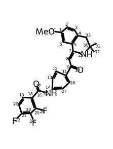 COc1ccc2c(c1)/C(=C/C(=O)c1ccc(NC(=O)c3ccc(F)c(F)c3F)cc1)NC(C)(C)C2